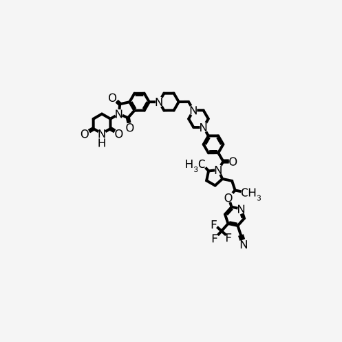 CC(CC1CCC(C)N1C(=O)c1ccc(N2CCN(CC3CCN(c4ccc5c(c4)C(=O)N(C4CCC(=O)NC4=O)C5=O)CC3)CC2)cc1)Oc1cc(C(F)(F)F)c(C#N)cn1